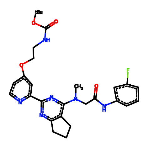 CN(CC(=O)Nc1cccc(F)c1)c1nc(-c2cc(OCCNC(=O)OC(C)(C)C)ccn2)nc2c1CCC2